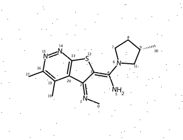 C/N=C1\C(=C(/N)N2CC[C@H](C)C2)Sc2nnc(C)c(C)c21